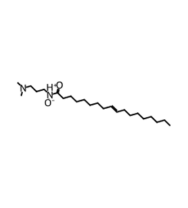 CCCCCCCC/C=C/CCCCCCCC(=O)[NH+]([O-])CCCN(C)C